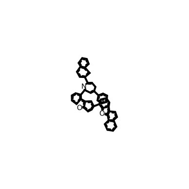 C1=C(c2ccccc2)CC=C(c2ccc3ccccc3c2)N=C1c1cccc2oc3ccc(-c4cccc5c4oc4c6ccccc6ccc54)cc3c12